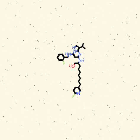 CC(C)c1cnn2c(NCc3ccccc3F)cc(NC(CO)CCCCCCCc3ccc(F)nc3)nc12